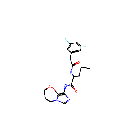 CCCC(NC(=O)Cc1cc(F)cc(F)c1)C(=O)Nc1ncn2c1OCCC2